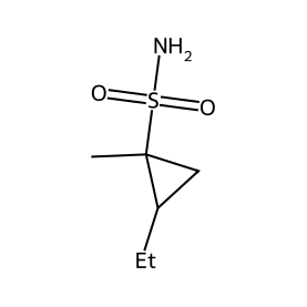 CCC1CC1(C)S(N)(=O)=O